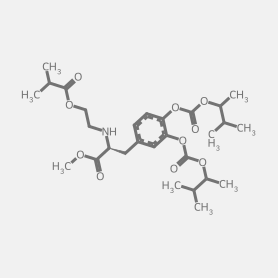 COC(=O)[C@H](Cc1ccc(OC(=O)OC(C)C(C)C)c(OC(=O)OC(C)C(C)C)c1)NCCOC(=O)C(C)C